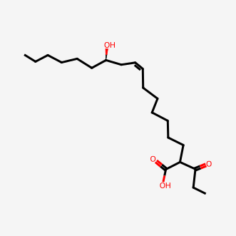 CCCCCC[C@@H](O)C/C=C\CCCCCCC(C(=O)O)C(=O)CC